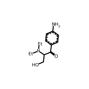 CCN(CC)C(CO)C(=O)c1ccc(N)cc1